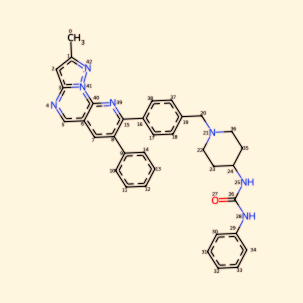 Cc1cc2ncc3cc(-c4ccccc4)c(-c4ccc(CN5CCC(NC(=O)Nc6ccccc6)CC5)cc4)nc3n2n1